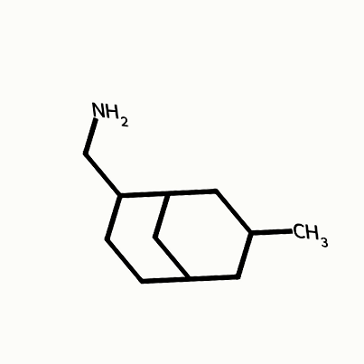 CC1CC2CCC(CN)C(C1)C2